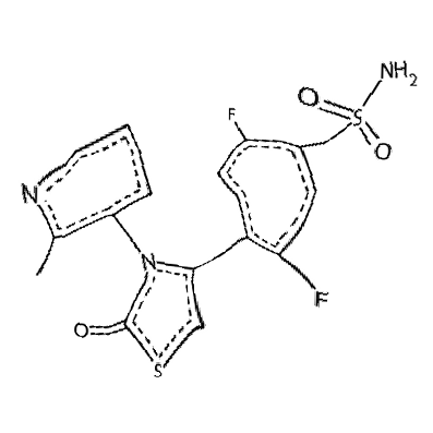 Cc1ncccc1-n1c(-c2cc(F)c(S(N)(=O)=O)cc2F)csc1=O